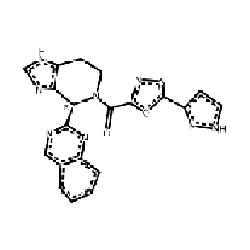 O=C(c1nnc(-c2cc[nH]n2)o1)N1CCc2[nH]cnc2[C@@H]1c1ncc2ccccc2n1